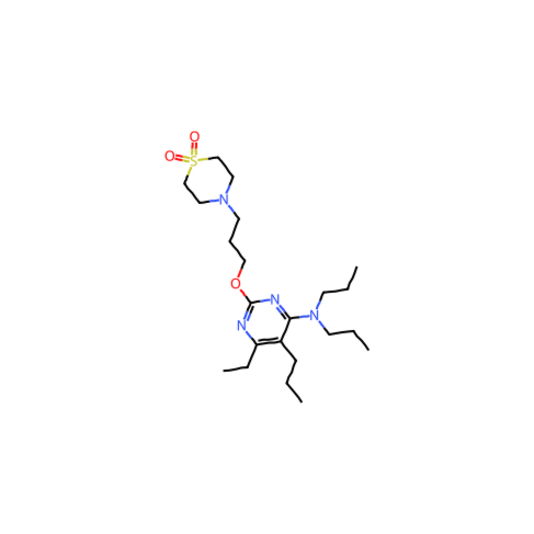 CCCc1c(CC)nc(OCCCN2CCS(=O)(=O)CC2)nc1N(CCC)CCC